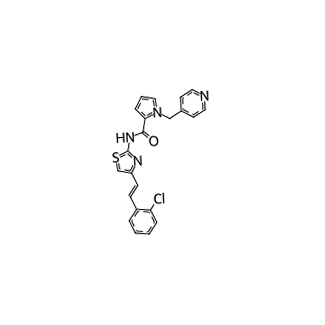 O=C(Nc1nc(C=Cc2ccccc2Cl)cs1)c1cccn1Cc1ccncc1